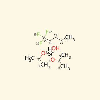 CC(C)O[SiH](O)OC(C)C.CCCCC(F)(F)F